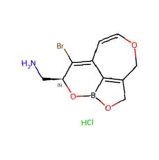 Cl.NC[C@@H]1OB2OCC3=C2C(=C1Br)C=COC3